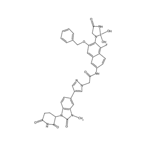 Cn1c(=O)n(C2CCC(=O)NC2=O)c2ccc(-c3cnn(CC(=O)Nc4ccc5c(F)c(N6CC(=O)NS6(O)O)c(OCc6ccccc6)cc5c4)c3)cc21